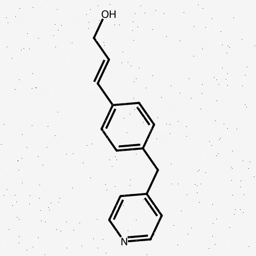 OCC=Cc1ccc(Cc2ccncc2)cc1